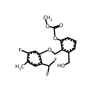 COC(=O)Oc1cccc(CO)c1COc1cc(F)c(C)cc1C(F)F